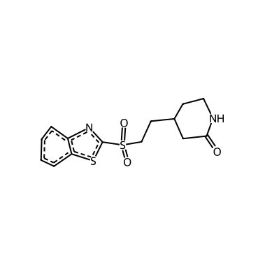 O=C1CC(CCS(=O)(=O)c2nc3ccccc3s2)CCN1